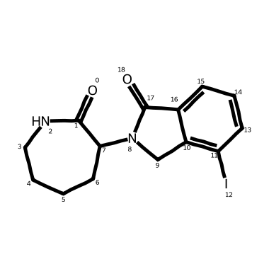 O=C1NCCCCC1N1Cc2c(I)cccc2C1=O